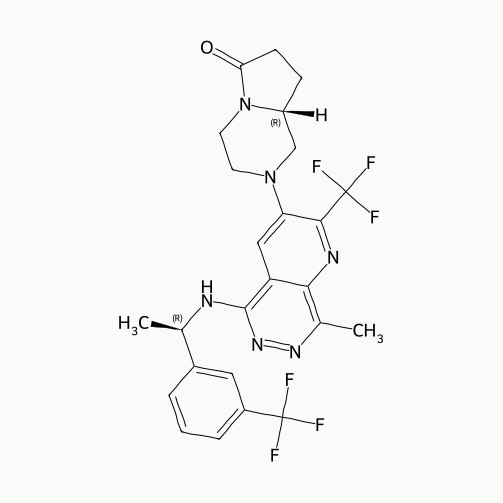 Cc1nnc(N[C@H](C)c2cccc(C(F)(F)F)c2)c2cc(N3CCN4C(=O)CC[C@@H]4C3)c(C(F)(F)F)nc12